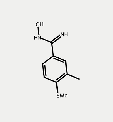 CSc1ccc(C(=N)NO)cc1C